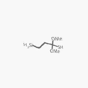 COC(S)(CC[SiH3])OC